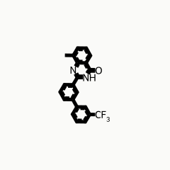 Cc1cccc2c(=O)[nH]c(-c3cccc(-c4cccc(C(F)(F)F)c4)c3)nc12